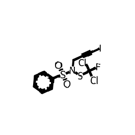 O=S(=O)(c1ccccc1)N(CC#CI)SC(F)(Cl)Cl